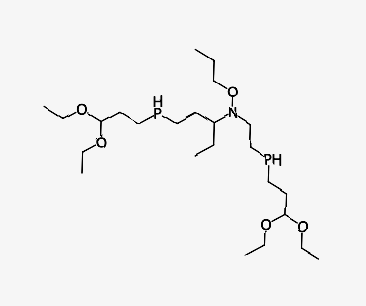 CCCON(CCPCCC(OCC)OCC)C(CC)CCPCCC(OCC)OCC